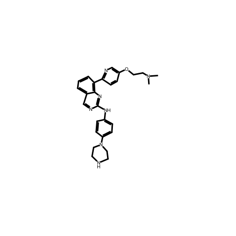 CN(C)CCOc1ccc(-c2cccc3cnc(Nc4ccc(N5CCNCC5)cc4)nc23)nc1